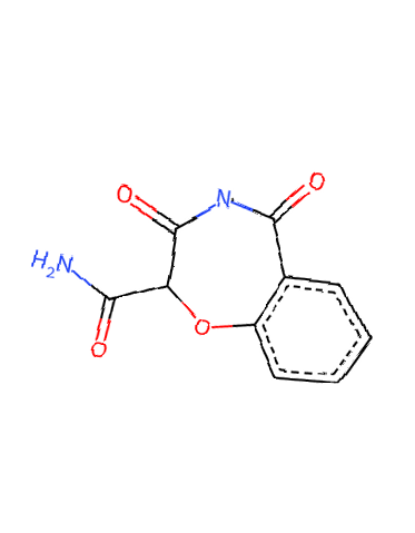 NC(=O)C1Oc2ccccc2C(=O)[N]C1=O